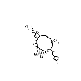 CC[Si](CC)(CC)O[C@H]1CC(=O)O[C@H](/C(C)=C/c2csc(C)n2)C/C=C(/C(F)(F)F)C/C=C/C[C@H](C)[C@H](OC(=O)OCC(Cl)(Cl)Cl)C(C)C(=O)C1(C)C